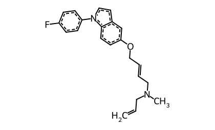 C=CCN(C)CC=CCOc1ccc2c(ccn2-c2ccc(F)cc2)c1